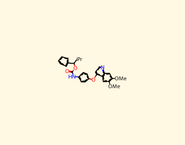 COc1cc2nccc(Oc3ccc(NC(=O)OC(c4ccccc4)C(C)C)cc3)c2cc1OC